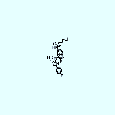 CCc1nc2ccc(NS(=O)(=O)CCCCl)cn2c1N(C)c1nc(-c2ccc(F)cc2)cs1